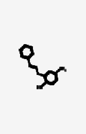 Cc1ccc(O)c(CC=Cc2ccccc2)c1